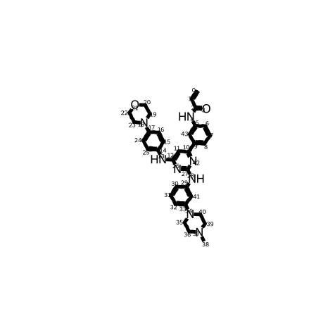 C=CC(=O)Nc1cccc(-c2cc(Nc3ccc(N4CCOCC4)cc3)nc(Nc3cccc(N4CCN(C)CC4)c3)n2)c1